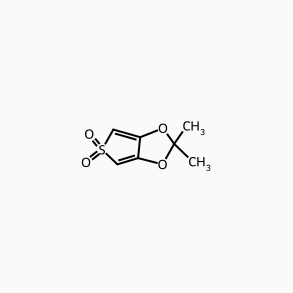 CC1(C)OC2=CS(=O)(=O)C=C2O1